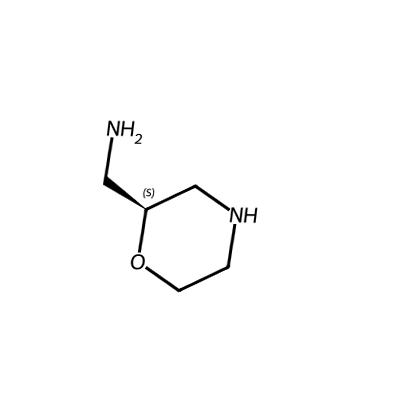 NC[C@H]1CNCCO1